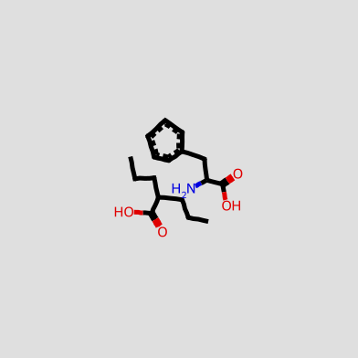 CCCC(CCC)C(=O)O.NC(Cc1ccccc1)C(=O)O